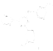 CC(=O)N1CC(c2nc(Nc3cncc(C)c3)cc(-c3cnccn3)n2)CCC1C